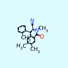 Cc1cc2c(-c3ccccc3C)c(C#N)n(C)c(=O)c2cc1C